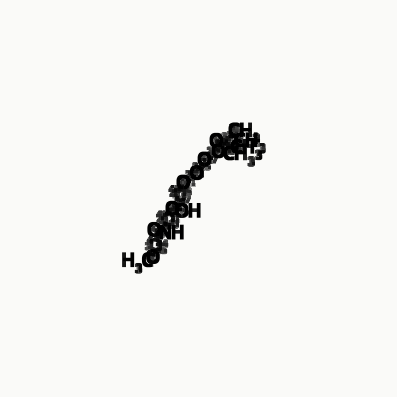 COc1ccc(C(=O)Nc2ccc(OC(O)c3ccc(OCCOCCOCCOC(=O)C(CC(C)C)C(C)C)cc3)cc2)cc1